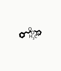 CN1CCCC1COC(=O)CCc1ccccc1